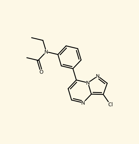 CCN(C(C)=O)c1cccc(-c2ccnc3c(Cl)cnn23)c1